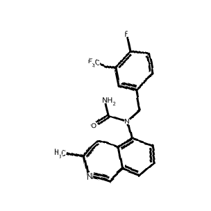 Cc1cc2c(N(Cc3ccc(F)c(C(F)(F)F)c3)C(N)=O)cccc2cn1